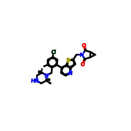 Cc1cc(Cl)cc(-c2ccnc3cc(CN4C(=O)C5CC5C4=O)sc23)c1CN1[C@@H](C)CNC[C@@H]1C